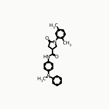 Cc1ccc(C)c(N2CC(C(=O)Nc3ccc(N(C)c4ccccc4)cc3)CC2=O)c1